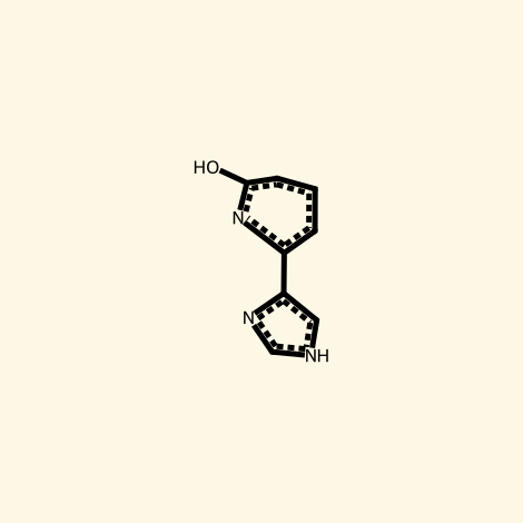 Oc1cccc(-c2c[nH]cn2)n1